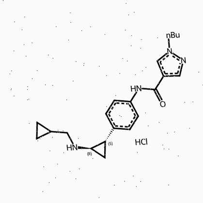 CCCCn1cc(C(=O)Nc2ccc([C@@H]3C[C@H]3NCC3CC3)cc2)cn1.Cl